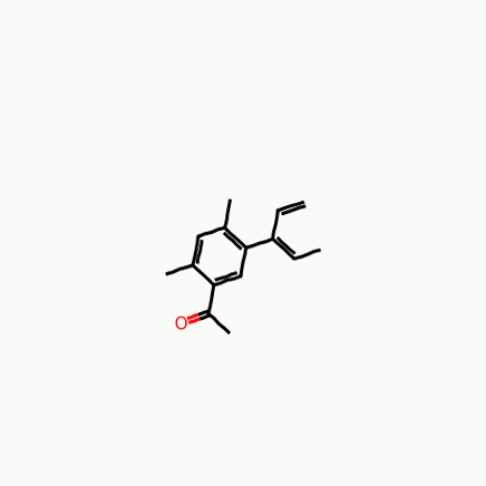 C=C/C(=C\C)c1cc(C(C)=O)c(C)cc1C